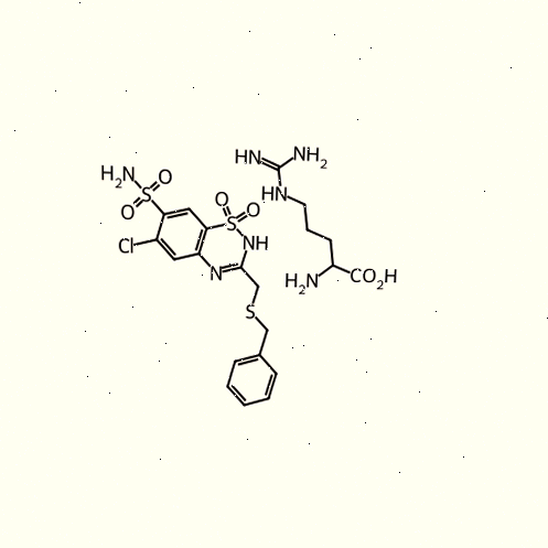 N=C(N)NCCCC(N)C(=O)O.NS(=O)(=O)c1cc2c(cc1Cl)N=C(CSCc1ccccc1)NS2(=O)=O